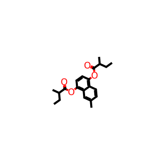 CCC(C)C(=O)Oc1ccc(OC(=O)C(C)CC)c2cc(C)ccc12